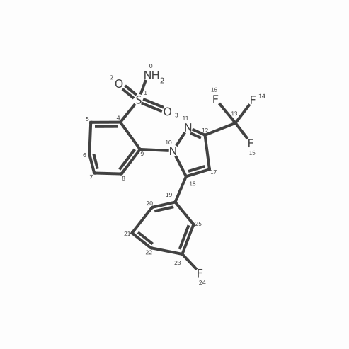 NS(=O)(=O)c1ccccc1-n1nc(C(F)(F)F)cc1-c1cccc(F)c1